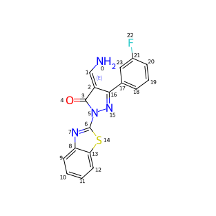 N/C=C1/C(=O)N(c2nc3ccccc3s2)N=C1c1cccc(F)c1